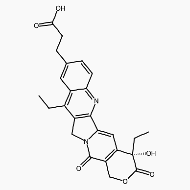 CCc1c2c(nc3ccc(CCC(=O)O)cc13)-c1cc3c(c(=O)n1C2)COC(=O)[C@]3(O)CC